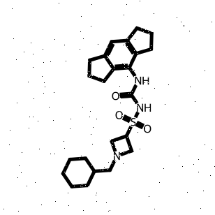 O=C(Nc1c2c(cc3c1CCC3)CCC2)NS(=O)(=O)C1CN(CC2CCCCC2)C1